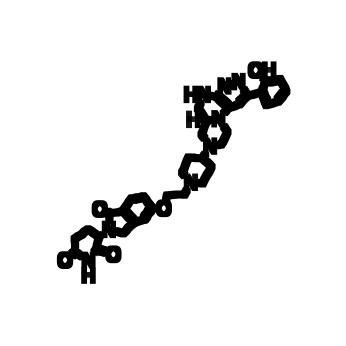 O=C1CC[C@@H](N2Cc3cc(OCCN4CCC(N5CCN6c7cc(-c8ccccc8O)nnc7NC[C@H]6C5)CC4)ccc3C2=O)C(=O)N1